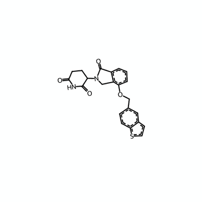 O=C1CCC(N2Cc3c(OCc4ccc5sccc5c4)cccc3C2=O)C(=O)N1